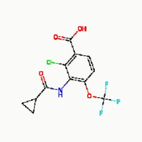 O=C(O)c1ccc(OC(F)(F)F)c(NC(=O)C2CC2)c1Cl